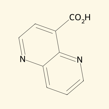 O=C(O)c1ccnc2cccnc12